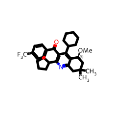 CO[C@H]1CC(C)(C)Cc2nc(C3CCCC3)c(C(=O)c3ccc(C(F)(F)F)cc3)c(C3CCCCC3)c21